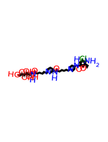 Nc1c(Cl)cc(C(=O)NC2CCN(CCCCCC(=O)N[C@@H]3CCCN(CCCCCC(=O)NC[C@H](O)[C@@H](O)[C@H](O)[C@H](O)CO)C3)CC2)c2c1CCO2